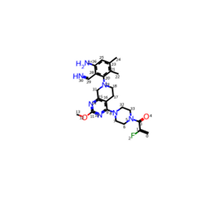 C=C(F)C(=O)N1CCN(c2nc(OC)nc3c2CCN(c2c(C)c(C)cc(N)c2C=N)C3)CC1